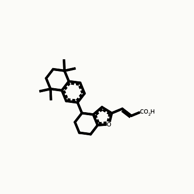 CC1(C)CCC(C)(C)c2cc(C3CCCc4oc(C=CC(=O)O)cc43)ccc21